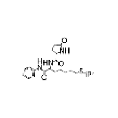 CC(C)SCCCCC[C@H](NC(=O)[C@H]1CCC(=O)N1)C(=O)Nc1ccccc1